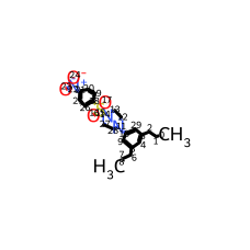 CCCc1cc(CCC)cc(N2CCN(S(=O)(=O)c3ccc([N+](=O)[O-])cc3)CC2)c1